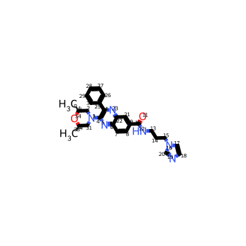 C[C@@H]1CN(c2nc3ccc(C(=O)NCCCn4ccnc4)cc3nc2-c2ccccc2)C[C@H](C)O1